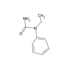 [CH2]CN(C(N)=O)c1ccccc1